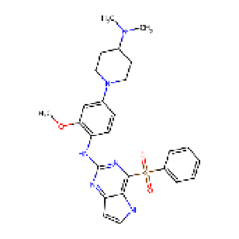 COc1cc(N2CCC(N(C)C)CC2)ccc1Nc1nc(S(=O)(=O)c2ccccc2)c2[nH]ccc2n1